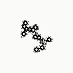 c1ccc(-c2cccc(-c3nc(-c4ccccc4)nc(-c4ccc5c(CC6Cc7cc8c(cc7-c7ccccc76)c6c7ccccc7ccc6n8-c6ccccc6)cccc5c4)n3)c2)cc1